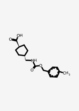 Cc1ccc(COC(=O)NC[C@H]2CC[C@H](C(=O)O)CC2)cc1